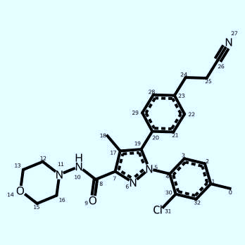 Cc1ccc(-n2nc(C(=O)NN3CCOCC3)c(C)c2-c2ccc(CCC#N)cc2)c(Cl)c1